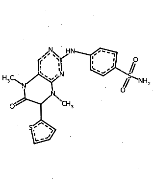 CN1C(=O)C(c2cccs2)N(C)c2nc(Nc3ccc(S(N)(=O)=O)cc3)ncc21